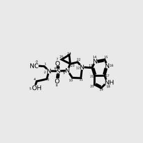 N#CCN(CCO)S(=O)(=O)N1CCN(c2ncnc3[nH]ccc23)CC12CC2